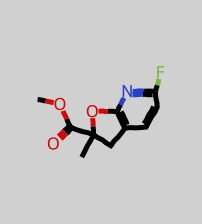 COC(=O)C1(C)Cc2ccc(F)nc2O1